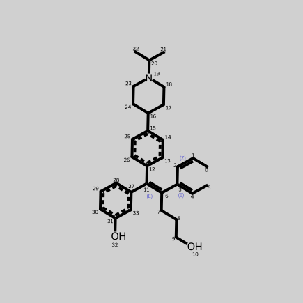 C\C=C/C(=C\C)C(/CCCO)=C(\c1ccc(C2CCN(C(C)C)CC2)cc1)c1cccc(O)c1